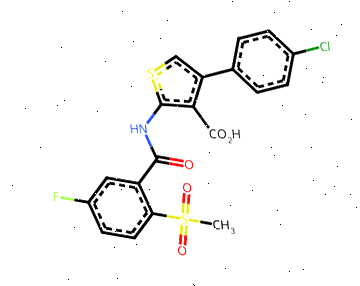 CS(=O)(=O)c1ccc(F)cc1C(=O)Nc1scc(-c2ccc(Cl)cc2)c1C(=O)O